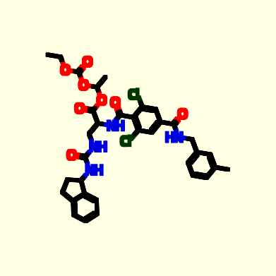 CCOC(=O)OC(C)OC(=O)C(CNC(=O)NC1CCc2ccccc21)NC(=O)c1c(Cl)cc(C(=O)NCc2cccc(C)c2)cc1Cl